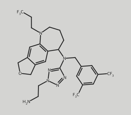 NCCn1nnc(N(Cc2cc(C(F)(F)F)cc(C(F)(F)F)c2)C2CCCN(CCC(F)(F)F)c3cc4c(cc32)COC4)n1